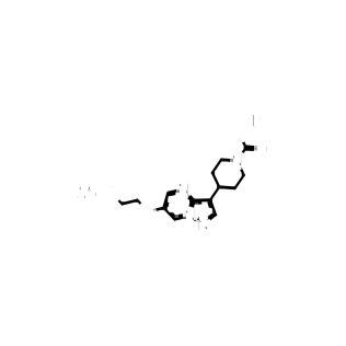 COCCOc1cnc2c(C3CCN(C(=O)OC(C)(C)C)CC3)cnn2c1